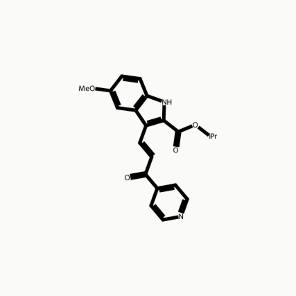 COc1ccc2[nH]c(C(=O)OC(C)C)c(/C=C/C(=O)c3ccncc3)c2c1